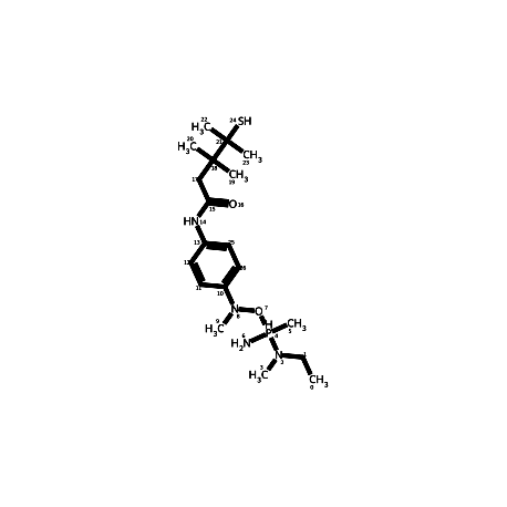 CCN(C)[PH](C)(N)ON(C)c1ccc(NC(=O)CC(C)(C)C(C)(C)S)cc1